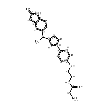 CC(c1ccc2[nH]c(=O)sc2c1)c1ccn(-c2ccc(OCCOC(=O)CN)cn2)n1